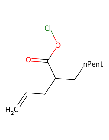 C=CCC(CCCCCC)C(=O)OCl